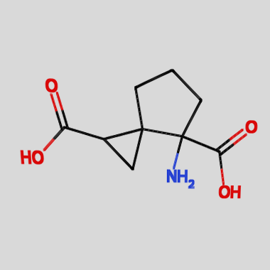 NC1(C(=O)O)CCCC12CC2C(=O)O